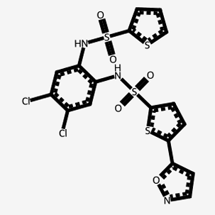 O=S(=O)(Nc1cc(Cl)c(Cl)cc1NS(=O)(=O)c1ccc(-c2ccno2)s1)c1cccs1